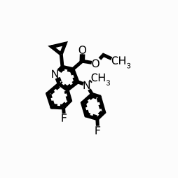 CCOC(=O)c1c(C2CC2)nc2ccc(F)cc2c1N(C)c1ccc(F)cc1